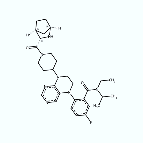 CCN(C(=O)c1cc(F)ccc1N1CCN(C2CCN(C(=O)[C@H]3N[C@@H]4CC[C@H]3C4)CC2)c2ncncc21)C(C)C